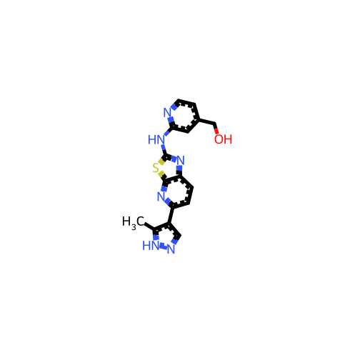 Cc1[nH]ncc1-c1ccc2nc(Nc3cc(CO)ccn3)sc2n1